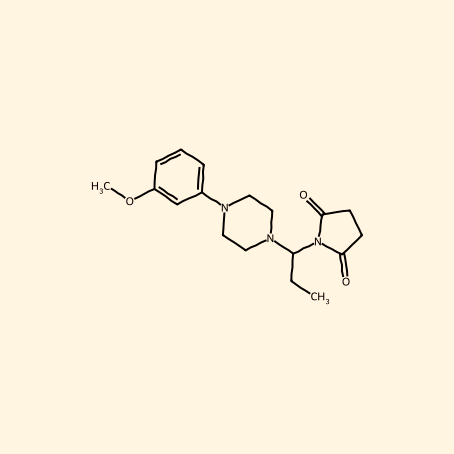 CCC(N1CCN(c2cccc(OC)c2)CC1)N1C(=O)CCC1=O